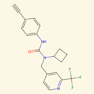 C#Cc1ccc(NC(=O)N(Cc2ccnc(C(F)(F)F)c2)C2CCC2)cc1